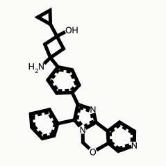 NC1(c2ccc(-c3nc4n(c3-c3ccccc3)COc3cnccc3-4)cc2)CC(O)(C2CC2)C1